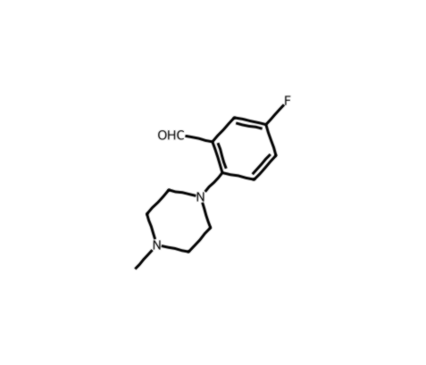 CN1CCN(c2ccc(F)cc2C=O)CC1